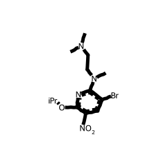 CC(C)Oc1nc(N(C)CCN(C)C)c(Br)cc1[N+](=O)[O-]